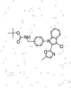 Cc1cnc(-c2c(Cl)c3ccccc3n2-c2ccc(CNC(=O)OC(C)(C)C)cc2)o1